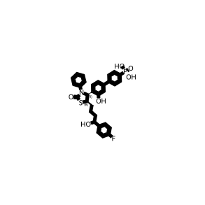 O=C1S[C@H](CCCC(O)c2ccc(F)cc2)[C@@H](c2ccc(-c3ccc(P(=O)(O)O)cc3)cc2O)N1c1ccccc1